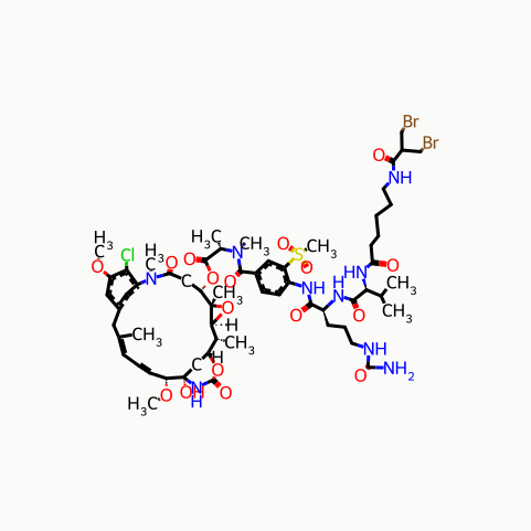 COc1cc2cc(c1Cl)N(C)C(=O)C[C@H](OC(=O)[C@H](C)N(C)C(=O)c1ccc(NC(=O)[C@H](CCCNC(N)=O)NC(=O)[C@@H](NC(=O)CCCCCNC(=O)C(CBr)CBr)C(C)C)c(S(C)(=O)=O)c1)[C@]1(C)O[C@H]1[C@H](C)[C@@H]1C[C@@](O)(NC(=O)O1)[C@H](OC)/C=C/C=C(\C)C2